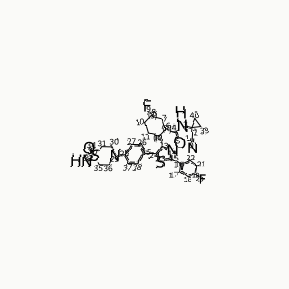 N#CC1(NC(=O)[C@@H]2C[C@@H](F)CC[C@H]2c2nc(-c3ccc(F)cc3)sc2-c2ccc(N3CCS(=N)(=O)CC3)cc2)CC1